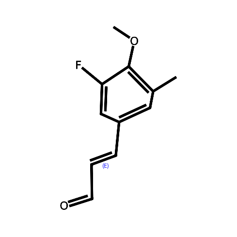 COc1c(C)cc(/C=C/C=O)cc1F